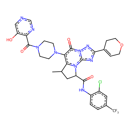 CC1CC(C(=O)Nc2ccc(C(F)(F)F)cc2Cl)n2c1c(N1CCN(C(=O)c3ncncc3O)CC1)c(=O)n1nc(C3=CCOCC3)nc21